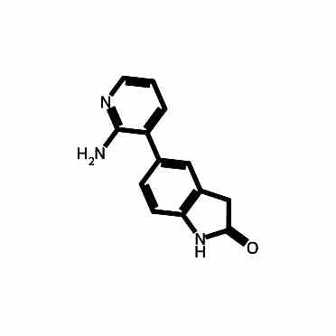 Nc1ncccc1-c1ccc2c(c1)CC(=O)N2